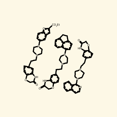 CCOC(=O)c1cc2cc(N3CCN(CCc4ccc5c(c4)NC(=O)CO5)CC3)ccc2o1.O=C1COc2ccc(CCN3CCN(c4ccc5c6c(cccc46)CC5)CC3)cc2N1.O=C1COc2ccc(CCN3CCN(c4nccc5ccccc45)CC3)cc2N1